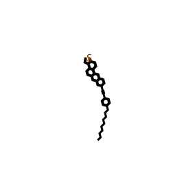 CCCCCCCCCCc1ccc(C#Cc2ccc3cc4c(ccc5c6ccsc6ccc45)cc3c2)cc1